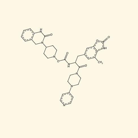 Cc1cc(CC(NC(=O)ON2CCC(N3Cc4ccccc4NC3=O)CC2)C(=O)N2CCN(c3ccncc3)CC2)cc2oc(=O)[nH]c12